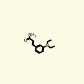 CCN(CC)c1cccc(C=CC(N)=O)c1